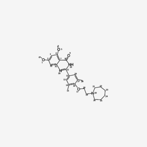 COc1cc(OC)c2c(=O)[nH]c(-c3cc(C)c(OCCN4CCCCCC4)c(C)c3)nc2c1